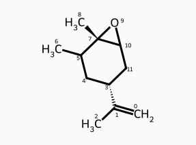 C=C(C)[C@@H]1CC(C)[C@]2(C)OC2C1